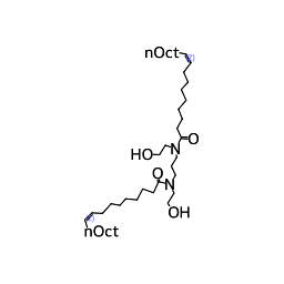 CCCCCCCC/C=C\CCCCCCCC(=O)N(CCO)CCCN(CCO)C(=O)CCCCCCC/C=C\CCCCCCCC